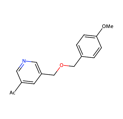 COc1ccc(COCc2cncc(C(C)=O)c2)cc1